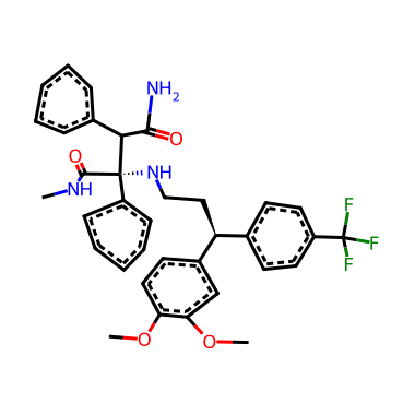 CNC(=O)[C@](NCC[C@@H](c1ccc(C(F)(F)F)cc1)c1ccc(OC)c(OC)c1)(c1ccccc1)C(C(N)=O)c1ccccc1